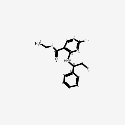 CCOC(=O)c1cnc(Cl)nc1NC(CF)c1ccccc1